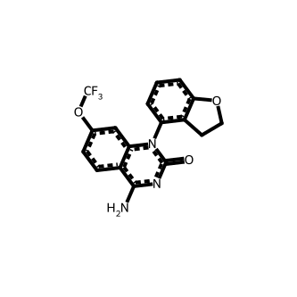 Nc1nc(=O)n(-c2cccc3c2CCO3)c2cc(OC(F)(F)F)ccc12